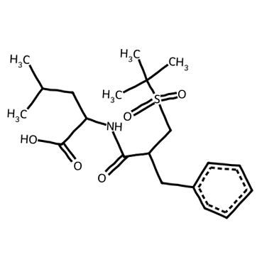 CC(C)CC(NC(=O)C(Cc1ccccc1)CS(=O)(=O)C(C)(C)C)C(=O)O